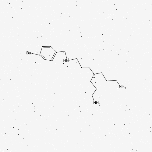 CCC(C)c1ccc(CNCCCN(CCCN)CCCN)cc1